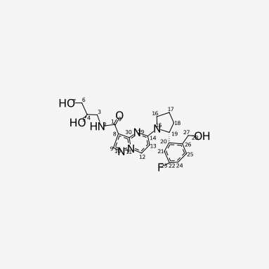 O=C(NC[C@@H](O)CO)c1cnn2ccc(N3CCC[C@@H]3c3cc(F)ccc3CO)nc12